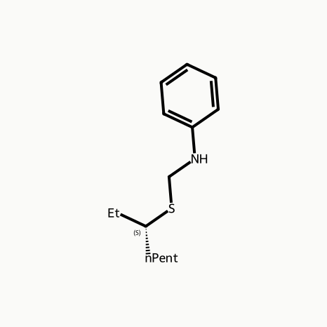 CCCCC[C@H](CC)SCNc1ccccc1